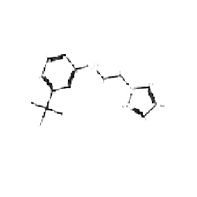 CC(C)(C)c1cccc(OCCn2cccn2)c1